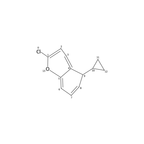 ClC1=CC=C2C(=CC=CC2C2CC2)O1